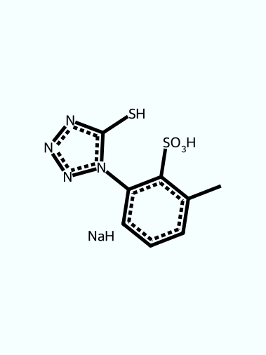 Cc1cccc(-n2nnnc2S)c1S(=O)(=O)O.[NaH]